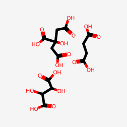 O=C(O)C(O)C(O)C(=O)O.O=C(O)CC(O)(CC(=O)O)C(=O)O.O=C(O)CCC(=O)O